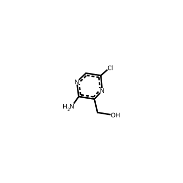 Nc1ncc(Cl)nc1CO